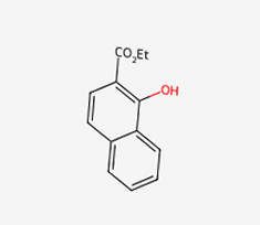 CCOC(=O)c1ccc2ccccc2c1O